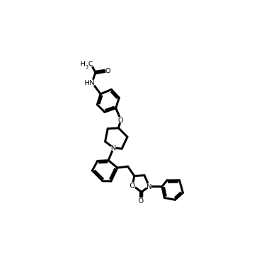 CC(=O)Nc1ccc(OC2CCN(c3ccccc3CC3CN(c4ccccc4)C(=O)O3)CC2)cc1